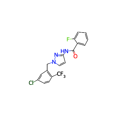 O=C(Nc1ccn(Cc2cc(Cl)ccc2C(F)(F)F)n1)c1ccccc1F